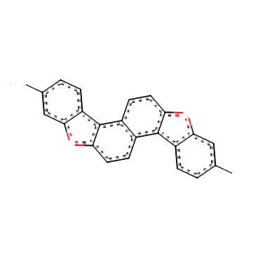 CCCCc1ccc2c(c1)oc1ccc3c(ccc4oc5cc(CCCC)ccc5c43)c12